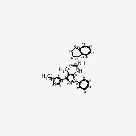 Cc1c(-c2cnn(C)c2)nn(-c2ccccc2)c1NC(=O)N[C@@H]1CCCc2ccccc21